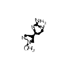 Cn1cc(-c2ccnc(N)n2)cn1